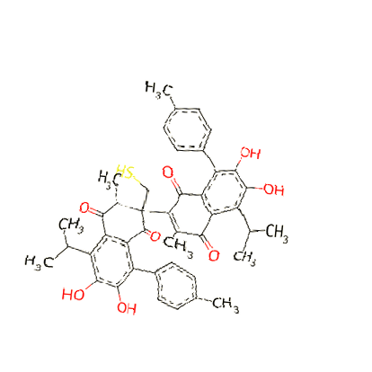 CC1=C(C2(CS)C(=O)c3c(c(C(C)C)c(O)c(O)c3-c3ccc(C)cc3)C(=O)C2C)C(=O)c2c(c(C(C)C)c(O)c(O)c2-c2ccc(C)cc2)C1=O